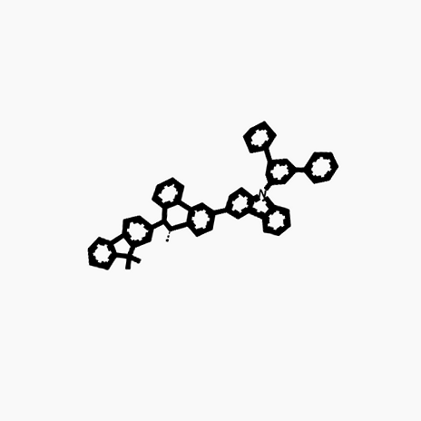 C[C@H]1c2ccc(-c3ccc4c(c3)c3ccccc3n4-c3cc(-c4ccccc4)cc(-c4ccccc4)c3)cc2-c2ccccc2C1c1ccc2c(c1)C(C)(C)c1ccccc1-2